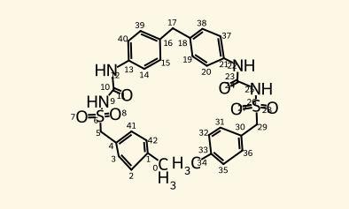 Cc1ccc(CS(=O)(=O)NC(=O)Nc2ccc(Cc3ccc(NC(=O)NS(=O)(=O)Cc4ccc(C)cc4)cc3)cc2)cc1